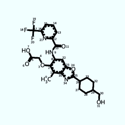 Cc1c(OCC(=O)O)c(NC(=O)c2cccc(C(F)(F)F)n2)cc2oc(C3CCC(CO)CC3)nc12